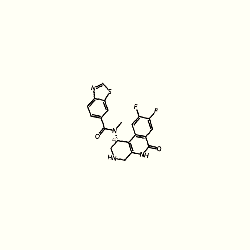 CN(C(=O)c1ccc2ncsc2c1)[C@H]1CNCc2[nH]c(=O)c3cc(F)c(F)cc3c21